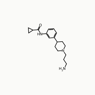 NCCCN1CCC(c2cccc(NC(=O)C3CC3)c2)CC1